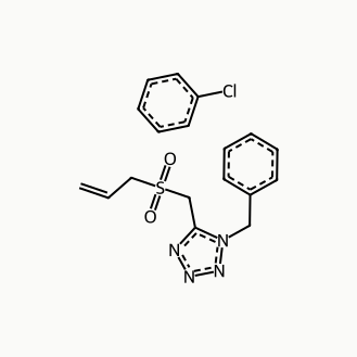 C=CCS(=O)(=O)Cc1nnnn1Cc1ccccc1.Clc1ccccc1